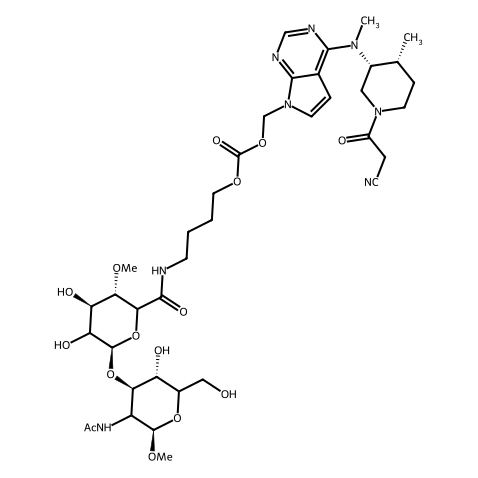 CO[C@@H]1OC(CO)[C@@H](O)[C@H](O[C@@H]2OC(C(=O)NCCCCOC(=O)OCn3ccc4c(N(C)[C@H]5CN(C(=O)CC#N)CC[C@H]5C)ncnc43)[C@@H](OC)[C@H](O)C2O)C1NC(C)=O